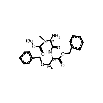 C[C@@H](OCc1ccccc1)[C@H](NC(=O)[C@H](N)N(C)C(=O)OC(C)(C)C)C(=O)OCc1ccccc1